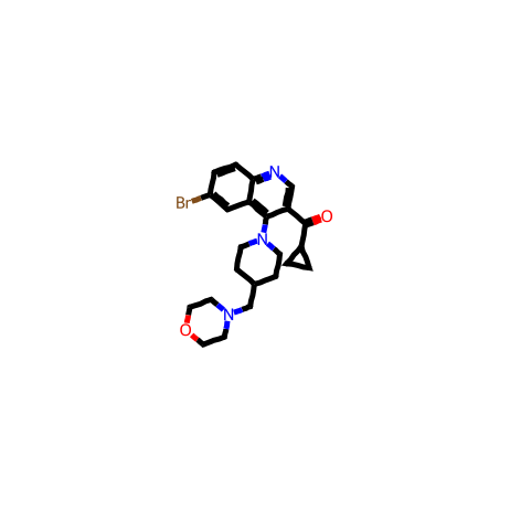 O=C(c1cnc2ccc(Br)cc2c1N1CCC(CN2CCOCC2)CC1)C1CC1